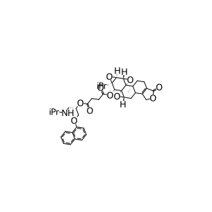 CC(C)NC[C@@H](COc1cccc2ccccc12)OC(=O)CCC(=O)O[C@@H]1[C@@]2(C(C)C)O[C@H]2[C@@H]2O[C@]23[C@]12O[C@H]2CC1C2=C(CC[C@@]13C)C(=O)OC2